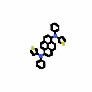 c1ccc(N(c2ccsc2)c2ccc3ccc4c(N(c5ccccc5)c5ccsc5)ccc5ccc2c3c54)cc1